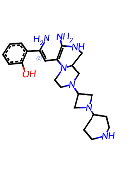 NC1=C(/C=C(\N)c2ccccc2O)N2CCN(C3CN(C4CCNCC4)C3)CC2CN1